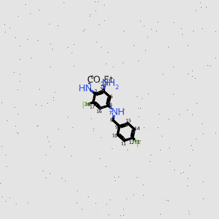 CCOC(=O)Nc1c(N)cc(NCc2ccc(F)cc2)cc1F